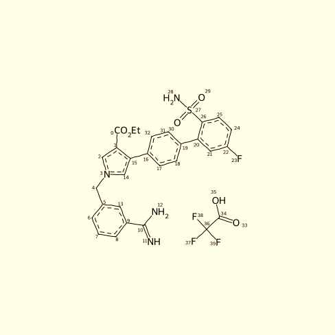 CCOC(=O)c1cn(Cc2cccc(C(=N)N)c2)cc1-c1ccc(-c2cc(F)ccc2S(N)(=O)=O)cc1.O=C(O)C(F)(F)F